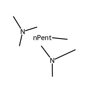 CCCCCC.CN(C)C.CN(C)C